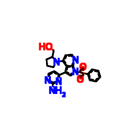 Nc1nccc(-c2cn(S(=O)(=O)c3ccccc3)c3nccc(N4CCCC4CO)c23)n1